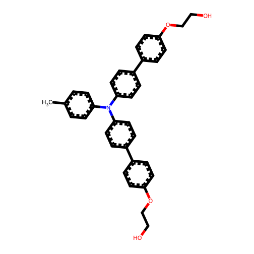 Cc1ccc(N(c2ccc(-c3ccc(OCCO)cc3)cc2)c2ccc(-c3ccc(OCCO)cc3)cc2)cc1